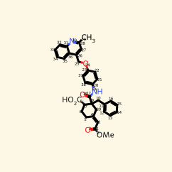 COC(=O)C=C1CCC(C(=O)O)C(Cc2ccccc2)(C(=O)Nc2ccc(OCc3cc(C)nc4ccccc34)cc2)C1